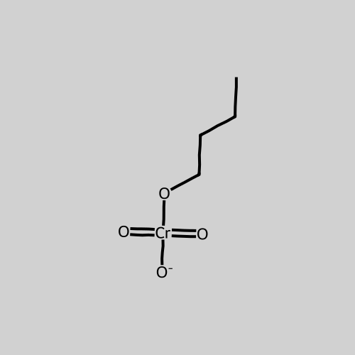 CCCC[O][Cr](=[O])(=[O])[O-]